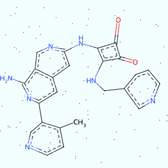 Cc1ccncc1-c1cc2cc(Nc3c(NCc4cccnc4)c(=O)c3=O)ncc2c(N)n1